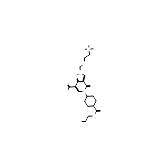 CN(CCO)C(=O)C1CCC(n2cc(C(=O)O)c3nn(COCC[Si](C)(C)C)cc3c2=O)CC1